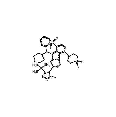 BC(B)(B)c1nnn(C)c1-c1cnc2c3c(N4CCS(=O)(=O)CC4)ccc(S(C)(=O)=O)c3n([C@H](c3ccccc3)C3CCOCC3)c2c1